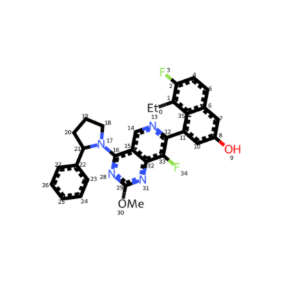 CCc1c(F)ccc2cc(O)cc(-c3ncc4c(N5CCCC5c5ccccc5)nc(OC)nc4c3F)c12